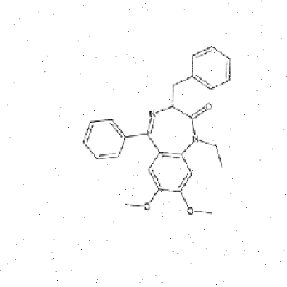 CCN1C(=O)C(Cc2ccccc2)N=C(c2ccccc2)c2cc(OC)c(OC)cc21